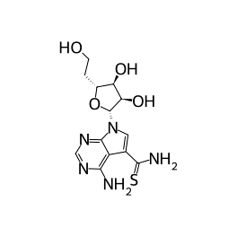 NC(=S)c1cn([C@@H]2O[C@H](CCO)[C@@H](O)[C@H]2O)c2ncnc(N)c12